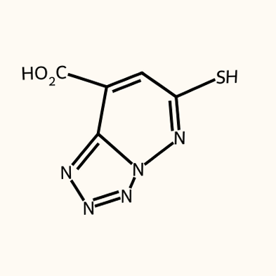 O=C(O)c1cc(S)nn2nnnc12